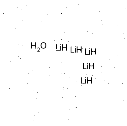 O.[LiH].[LiH].[LiH].[LiH].[LiH]